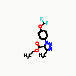 CCOC(=O)c1c(C)nnn1-c1ccc(OC(F)F)cc1